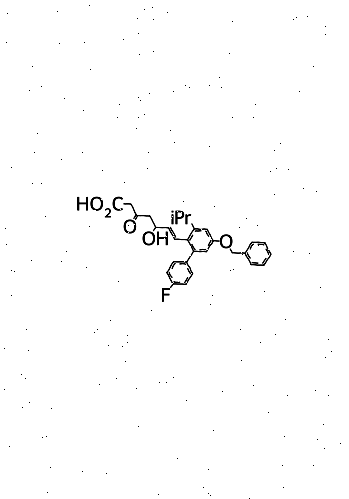 CC(C)c1cc(OCc2ccccc2)cc(-c2ccc(F)cc2)c1C=CC(O)CC(=O)CC(=O)O